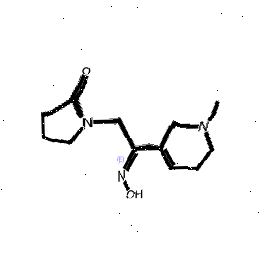 CN1CCC=C(/C(CN2CCCC2=O)=N\O)C1